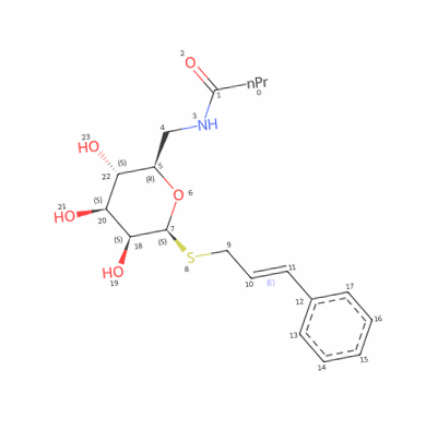 CCCC(=O)NC[C@H]1O[C@@H](SC/C=C/c2ccccc2)[C@@H](O)[C@@H](O)[C@@H]1O